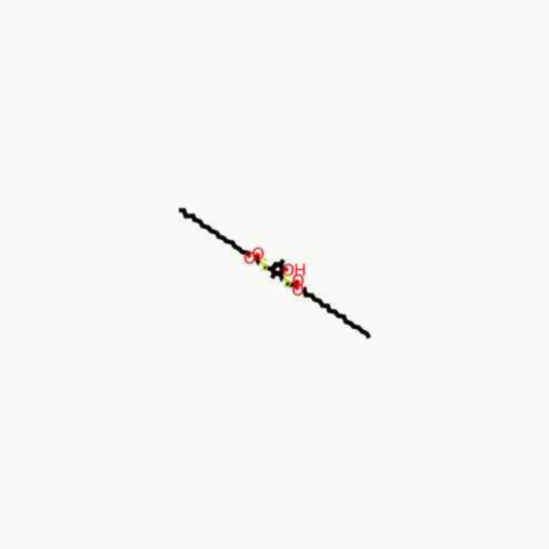 CCCCCCCCCCCCCCCCCCOC(=O)CSCc1cc(C)c(O)c(CSCC(=O)OCCCCCCCCCCCCCCCCCC)c1C